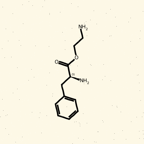 NCCOC(=O)[C@@H](N)Cc1ccccc1